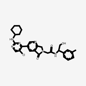 Cc1cccc(C(CO)NC(=O)CN2Cc3ncc(-c4nc(NC5CCCCC5)ncc4Cl)cc3C2=O)c1